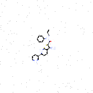 C=CCN(C(=O)c1sc2nc(-c3cccnc3)ccc2c1N)c1ccccc1